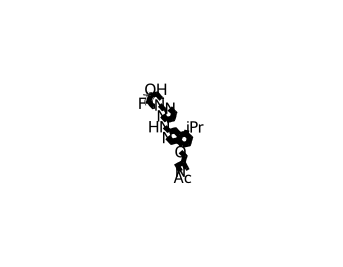 CC(=O)N1CC(COc2ccc(C(C)C)c3cc(Nc4ccnc(N5CC[C@](C)(O)[C@H](F)C5)n4)ncc23)C1